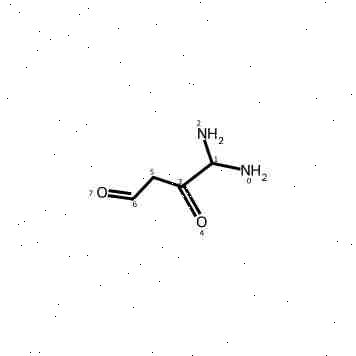 NC(N)C(=O)CC=O